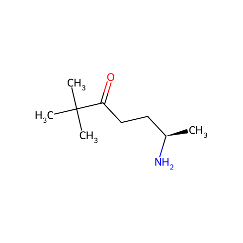 C[C@@H](N)CCC(=O)C(C)(C)C